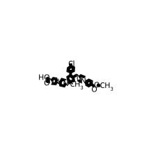 CCOC(=O)c1ccc(N2CCN(CC3=C(c4ccc(Cl)cc4)CC[C@@](C)(CN4CCC(N5CCN(C(=O)O)CC5)CC4)C3)CC2)cc1